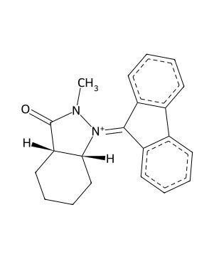 CN1C(=O)[C@H]2CCCC[C@H]2[N+]1=C1c2ccccc2-c2ccccc21